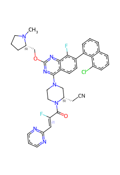 CN1CCC[C@H]1COc1nc(N2CCN(C(=O)/C(F)=C/c3ncccn3)[C@@H](CC#N)C2)c2ccc(-c3cccc4cccc(Cl)c34)c(F)c2n1